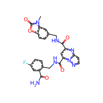 Cn1c(=O)oc2ccc(CNC(=O)c3cc(C(=O)NCc4ccc(F)cc4C(N)=O)n4nccc4n3)cc21